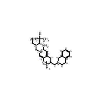 CCN(CN/C=C(C)\C(=C/CN)CC(C)CN1CCc2ccccc2C1)CC(C)(C)F